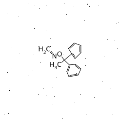 C=NOC(C)(c1ccccc1)c1ccccc1